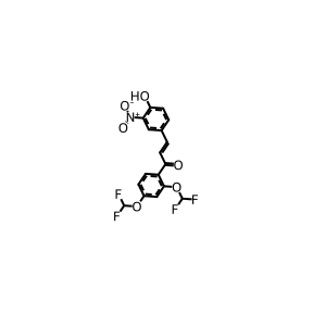 O=C(/C=C/c1ccc(O)c([N+](=O)[O-])c1)c1ccc(OC(F)F)cc1OC(F)F